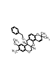 COc1cc2c(cc1C)OC[C@H]1Oc3c(ccc4c3C=CC(C)(C)O4)[C@@H](OCc3ccccc3)[C@@H]21